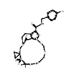 CC1(C)CNCCOCCn2nc(C(=O)NCc3ccc(C#N)cc3)c3c2C(=O)N(CC3)CC2(CC2)S1(=O)=O